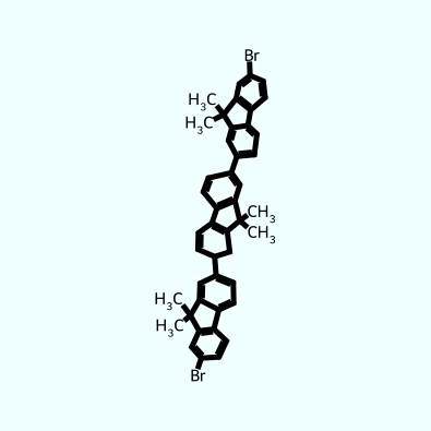 CC1(C)C2=C(C=CC(c3ccc4c(c3)C(C)(C)c3cc(Br)ccc3-4)C2)c2ccc(-c3ccc4c(c3)C(C)(C)c3cc(Br)ccc3-4)cc21